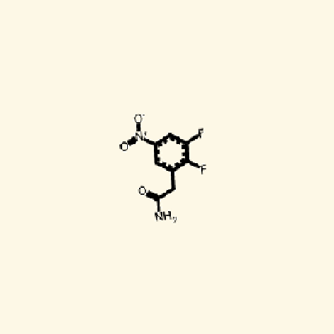 NC(=O)Cc1cc([N+](=O)[O-])cc(F)c1F